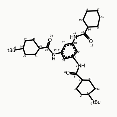 CC(C)(C)C1CCC(C(=O)Nc2cc(NC(=O)C3CCCCC3)cc(NC(=O)C3CCC(C(C)(C)C)CC3)c2)CC1